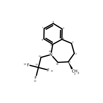 C[C@@H]1CCc2ccccc2N(CC(F)(F)F)C1